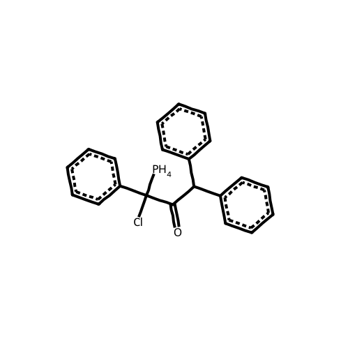 O=C(C(c1ccccc1)c1ccccc1)C([PH4])(Cl)c1ccccc1